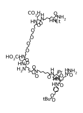 CCN[C@@H](CCCCNC(=O)[C@H](CCC(=O)O)NC(=O)CCOCCOCCOCCOCCNC(=O)[C@H](CCC(=O)O)NC(=O)[C@@H](N)CSC1CC(=O)N(CCCCCC(=O)NC([SiH3])[C@H](C(=O)N[C@@H](CCCNC(N)=O)C(=O)Nc2ccc(COC(=O)C(C)(C)C)cc2)C(C)C)C1=O)C(N)=O